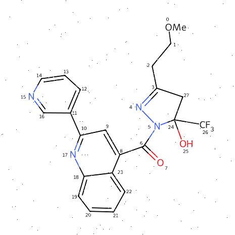 COCCC1=NN(C(=O)c2cc(-c3cccnc3)nc3ccccc23)C(O)(C(F)(F)F)C1